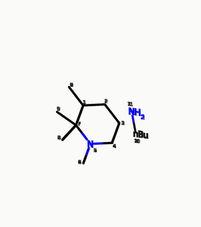 CC1CCCN(C)C1(C)C.CCCCN